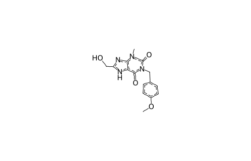 COc1ccc(Cn2c(=O)c3[nH]c(CO)nc3n(C)c2=O)cc1